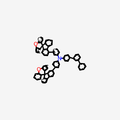 c1ccc(-c2cccc(-c3ccc(N(c4ccc(-c5ccc6c(c5)C5(c7ccccc7Oc7ccccc75)c5ccccc5-6)cc4)c4cccc(-c5cccc6c5-c5ccccc5C65c6ccccc6Oc6ccccc65)c4)cc3)c2)cc1